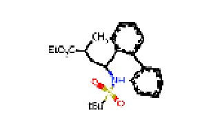 CCOC(=O)C(C)CC(NS(=O)(=O)C(C)(C)C)c1ccccc1-c1ccccc1